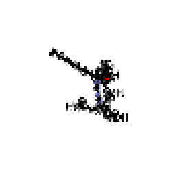 COCCOCCOCCOCCOCCN1/C(=C/C=C/C=C/C=C/C2=[N+](CCCCCC(=O)O)c3ccc(S(=O)(=O)O)cc3C2(C)CCCS(=O)(=O)O)C(C)(CCCS(=O)(=O)O)c2cc(S(=O)(=O)[O-])ccc21